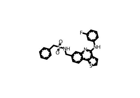 O=S(=O)(Cc1ccccc1)NCc1ccc2c(c1)nc(Nc1cccc(F)c1)c1ccsc12